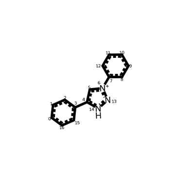 c1ccc(-c2c[n+](-c3ccccc3)n[nH]2)cc1